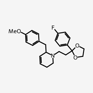 COc1ccc(CC2C=CCCN2CCC2(c3ccc(F)cc3)OCCO2)cc1